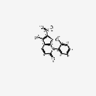 O=c1ccc2c(Br)c([N+](=O)[O-])sc2n1-c1ccccc1Cl